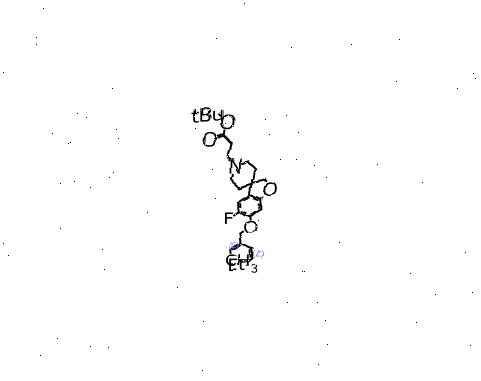 C/C=C(\C=C/CC)COc1cc2c(cc1F)C1(CCN(CCC(=O)OC(C)(C)C)CC1)CO2